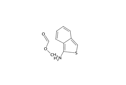 COC=O.Nc1scc2ccccc12